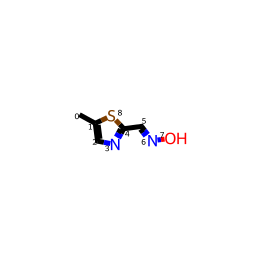 Cc1cnc(C=NO)s1